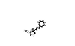 O=C(O)C(CS)NCCCC1CCCCCCC1